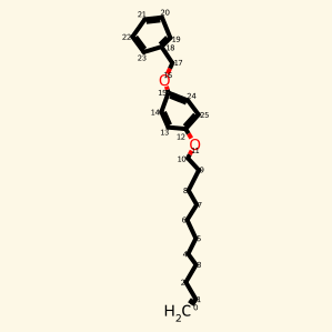 C=CCCCCCCCCCOc1ccc(OCc2ccccc2)cc1